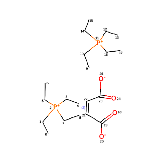 CC[P+](CC)(CC)CC.CC[P+](CC)(CC)CC.O=C([O-])/C=C\C(=O)[O-]